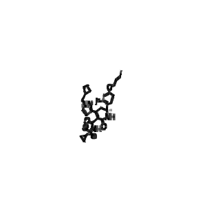 CCCCOc1ccc([C@]2(C)CC(c3ccn(CC4CCC4)n3)=C(C(=O)NS(=O)(=O)C3CC3)C(=O)N2)c(F)c1